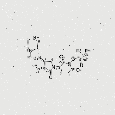 O=C1CCC(N2Cc3nc(CN4CCNCC4)ccc3C2=O)C(=O)N1OC(=O)C(F)(F)F